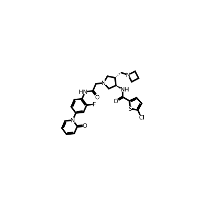 O=C(CN1C[C@H](CN2CCC2)[C@@H](NC(=O)c2ccc(Cl)s2)C1)Nc1ccc(-n2ccccc2=O)cc1F